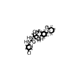 O=C(Nc1ccc(Cl)cn1)NC(CO)(CO)C(=O)Nc1ccc(N2CCCCC2=O)cc1F